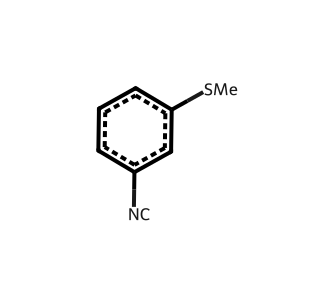 [C-]#[N+]c1cccc(SC)c1